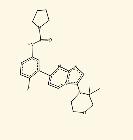 CC1(C)COCCN1c1cnc2nc(-c3cc(NC(=O)N4CCCC4)ccc3F)ccn12